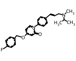 CC(C)N(C)CC=Cc1ccc(-n2ccc(OCc3ccc(F)cc3)cc2=O)cc1